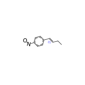 CC/C=C/c1ccc(N=O)cc1